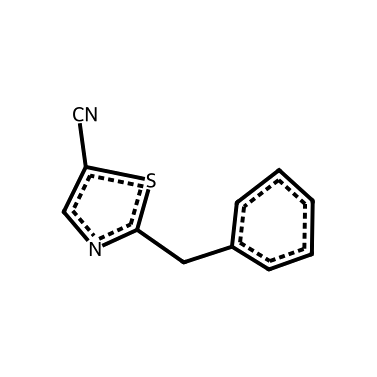 N#Cc1cnc(Cc2ccccc2)s1